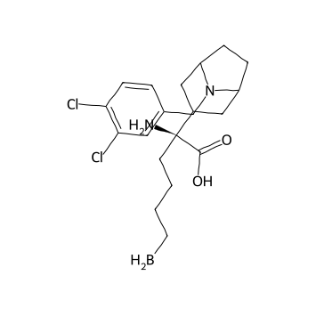 BCCCC[C@@](N)(C(=O)O)C1CC2CCC(C1)N2Cc1ccc(Cl)c(Cl)c1